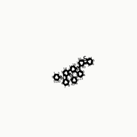 c1ccc(-n2c3ccccc3c3c2ccc2c4ccc5c(c6ccccc6n5-c5ccc6sc7ccccc7c6c5)c4n(-c4ccccc4)c23)cc1